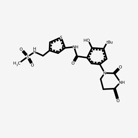 CC(C)(C)c1cc(N2CCC(=O)NC2=O)cc(C(=O)Nc2cc(CNS(C)(=O)=O)cs2)c1O